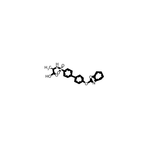 C[C@@H](NS(=O)(=O)c1ccc(-c2ccc(Oc3nc4ccccc4o3)cc2)cc1)C(=O)O